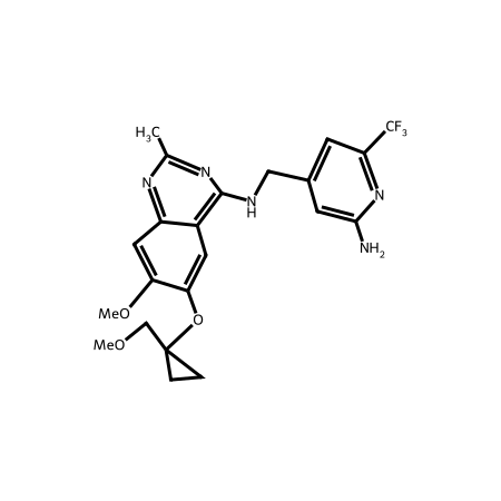 COCC1(Oc2cc3c(NCc4cc(N)nc(C(F)(F)F)c4)nc(C)nc3cc2OC)CC1